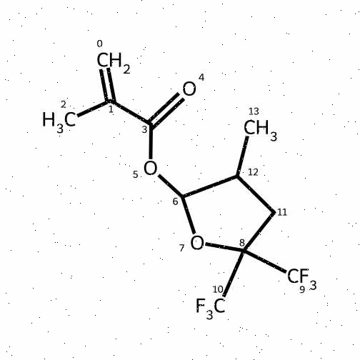 C=C(C)C(=O)OC1OC(C(F)(F)F)(C(F)(F)F)CC1C